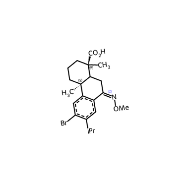 CO/N=C1/CC2[C@](C)(C(=O)O)CCC[C@]2(C)c2cc(Br)c(C(C)C)cc21